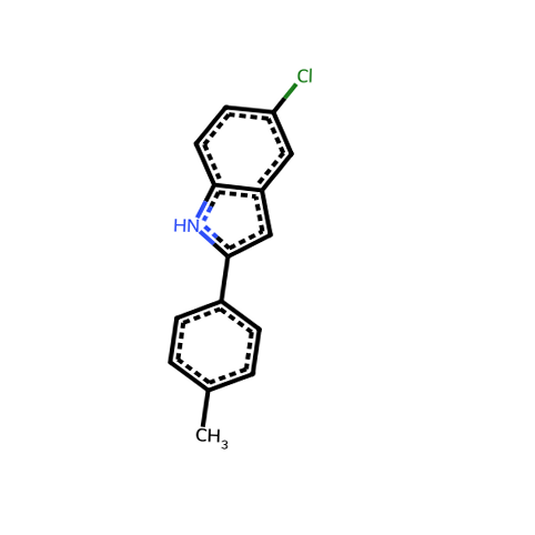 Cc1ccc(-c2cc3cc(Cl)ccc3[nH]2)cc1